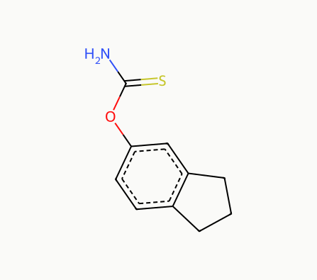 NC(=S)Oc1ccc2c(c1)CCC2